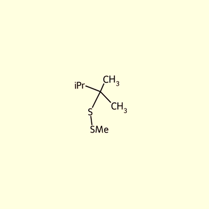 CSSC(C)(C)C(C)C